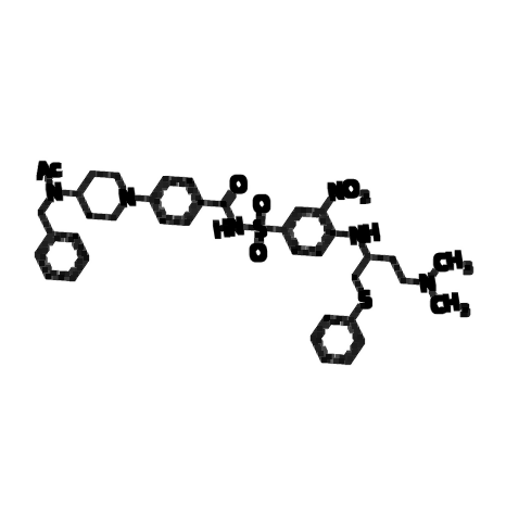 CC(=O)N(Cc1ccccc1)C1CCN(c2ccc(C(=O)NS(=O)(=O)c3ccc(NC(CCN(C)C)CSc4ccccc4)c([N+](=O)[O-])c3)cc2)CC1